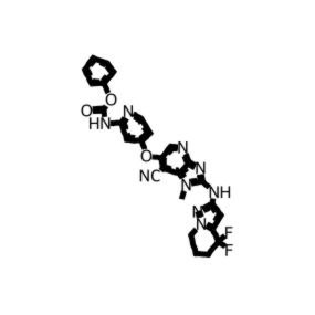 Cn1c(Nc2cc3n(n2)CCCC3(F)F)nc2ncc(Oc3ccnc(NC(=O)Oc4ccccc4)c3)c(C#N)c21